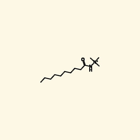 CCCCCCCCCC(=O)N[N+](C)(C)C